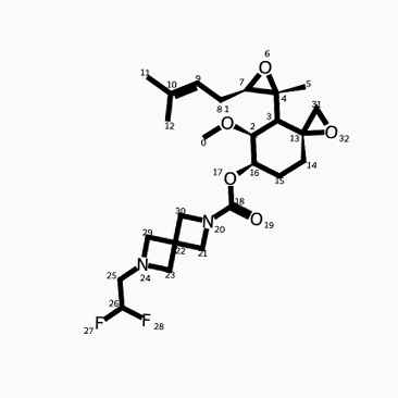 CO[C@H]1C([C@@]2(C)O[C@@H]2CC=C(C)C)[C@]2(CC[C@H]1OC(=O)N1CC3(CN(CC(F)F)C3)C1)CO2